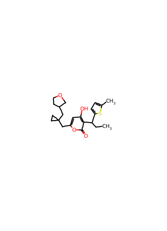 CCC(c1ccc(C)s1)c1c(O)cc(CC2(CC3CCOC3)CC2)oc1=O